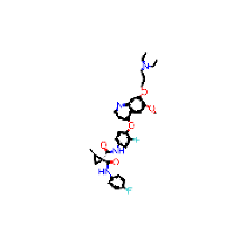 CCN(CC)CCCOc1cc2nccc(Oc3ccc(NC(=O)[C@]4(C(=O)Nc5ccc(F)cc5)C[C@H]4C)cc3F)c2cc1OC